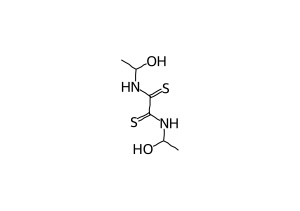 CC(O)NC(=S)C(=S)NC(C)O